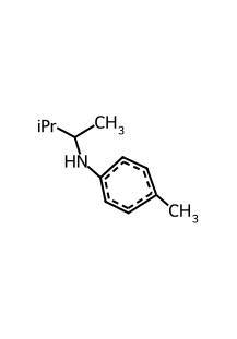 Cc1ccc(NC(C)C(C)C)cc1